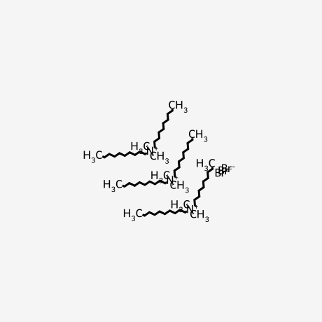 CCCCCCCCCC[N+](C)(C)CCCCCCCCCC.CCCCCCCCCC[N+](C)(C)CCCCCCCCCC.CCCCCCCCCC[N+](C)(C)CCCCCCCCCC.[Br-].[Br-].[Br-]